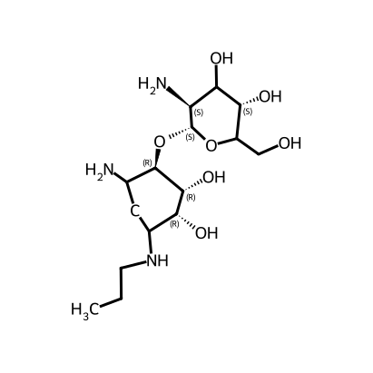 CCCNC1CC(N)[C@@H](O[C@H]2OC(CO)[C@@H](O)C(O)[C@@H]2N)[C@H](O)[C@@H]1O